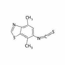 Cc1cc(N=C=S)c(C)c2scnc12